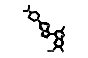 COc1cc2c(-c3cnn4cc(N5CCC(N(C)C)CC5)cnc34)cc(C)nc2cc1F